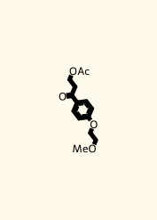 COCCOc1ccc(C(=O)CCOC(C)=O)cc1